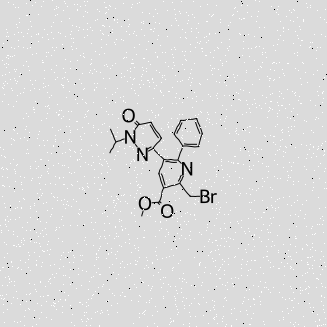 COC(=O)c1cc(-c2ccc(=O)n(C(C)C)n2)c(-c2ccccc2)nc1CBr